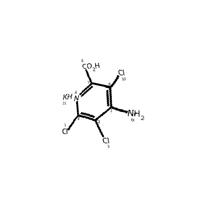 Nc1c(Cl)c(Cl)nc(C(=O)O)c1Cl.[KH]